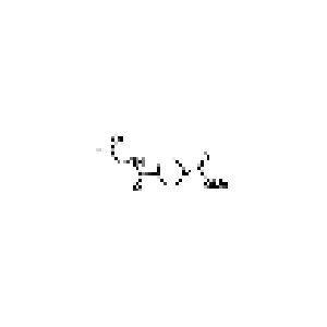 COC(=O)N1CCC(C(=O)NC[C@@H](C)O)CC1